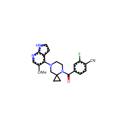 COc1cnc2[nH]ccc2c1N1CCN(C(=O)c2ccc(C#N)c(F)c2)C2(CC2)C1